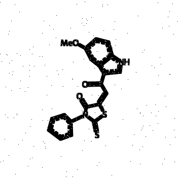 COc1ccc2[nH]cc(C(=O)/C=C3/SC(=S)N(c4ccccc4)C3=O)c2c1